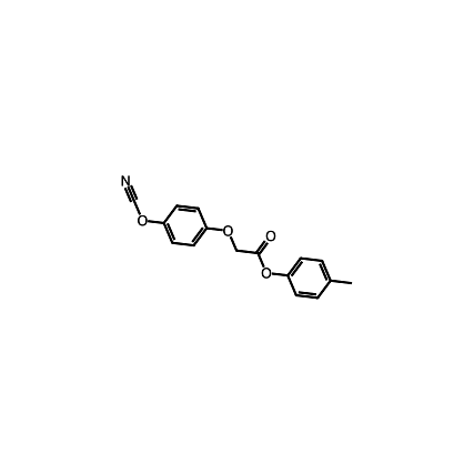 Cc1ccc(OC(=O)COc2ccc(OC#N)cc2)cc1